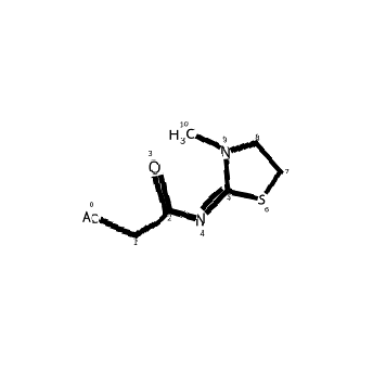 CC(=O)CC(=O)N=C1SCCN1C